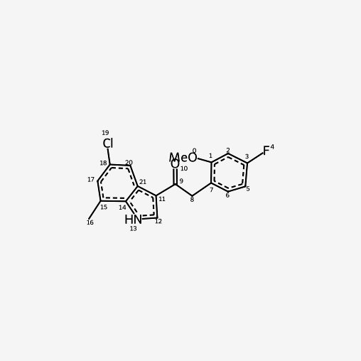 COc1cc(F)ccc1CC(=O)c1c[nH]c2c(C)cc(Cl)cc12